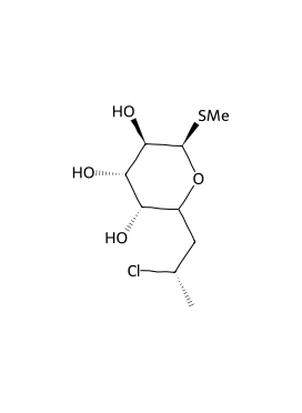 CS[C@H]1OC(C[C@H](C)Cl)[C@H](O)[C@H](O)[C@H]1O